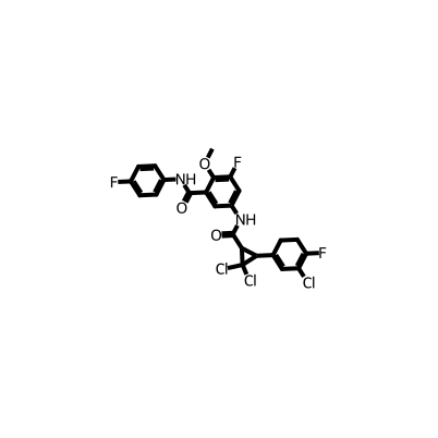 COc1c(F)cc(NC(=O)C2C(C3=CC(Cl)=C(F)CC3)C2(Cl)Cl)cc1C(=O)Nc1ccc(F)cc1